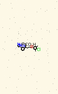 Cc1cc(OCCCc2c(C(=O)O)[nH]c3c(-c4ccnn4C(C)C)cccc23)cc(C)c1Cl